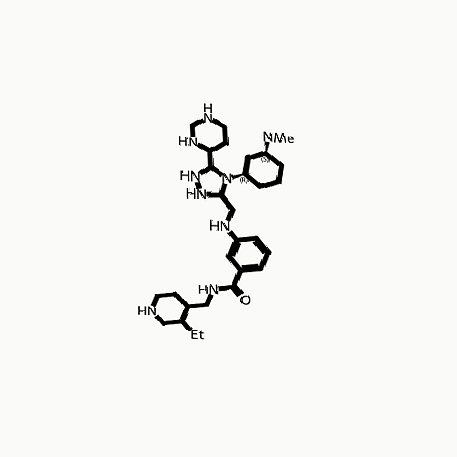 CCC1CNCCC1CNC(=O)c1cccc(NCC2NNC(C3CCNCN3)N2[C@@H]2CCC[C@H](NC)C2)c1